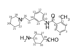 Cc1ccccc1C(=O)Nc1cccc(CCN2CCCCC2)c1.NC1CCC(C=O)CC1